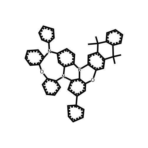 CC1(C)c2ccccc2C(C)(C)c2cc3c(cc21)Oc1cc(-c2ccccc2)cc2c1B3c1ccc3cc1N2c1ccccc1Oc1ccccc1N3c1ccccc1